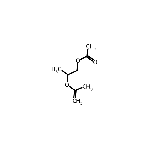 C=C(C)OC(C)COC(C)=O